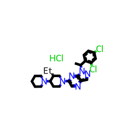 CCC1CN(c2cnc3cnn(C(C)c4ccc(Cl)cc4Cl)c3n2)CCC1N1CCCCC1.Cl